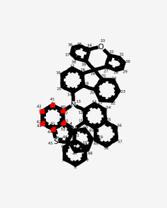 c1ccc(N(c2ccccc2)c2c(N(c3cccc4c3-c3ccccc3C43c4ccccc4Oc4ccccc43)c3cccc4sc5ccccc5c34)ccc3ccccc23)cc1